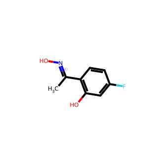 C/C(=N\O)c1ccc(F)cc1O